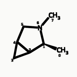 C[C@H]1C2CC2CN1C